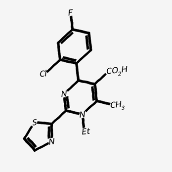 CCN1C(c2nccs2)=NC(c2ccc(F)cc2Cl)C(C(=O)O)=C1C